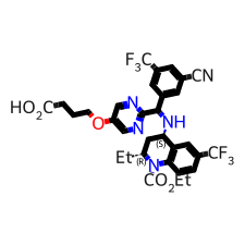 CCOC(=O)N1c2ccc(C(F)(F)F)cc2[C@@H](NC(c2cc(C#N)cc(C(F)(F)F)c2)c2ncc(OCCCC(=O)O)cn2)C[C@H]1CC